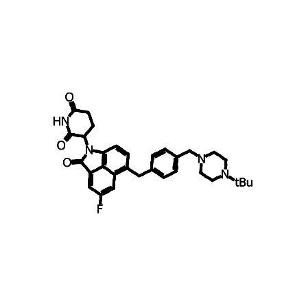 CC(C)(C)N1CCN(Cc2ccc(Cc3ccc4c5c(cc(F)cc35)C(=O)N4C3CCC(=O)NC3=O)cc2)CC1